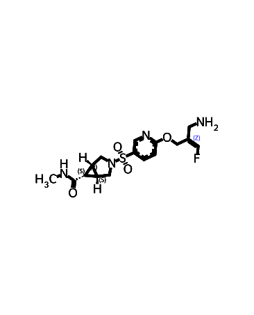 CNC(=O)[C@@H]1[C@@H]2CN(S(=O)(=O)c3ccc(OC/C(=C\F)CN)nc3)C[C@@H]21